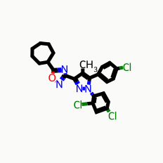 Cc1c(-c2noc(C3CCCCCC3)n2)nn(-c2ccc(Cl)cc2Cl)c1-c1ccc(Cl)cc1